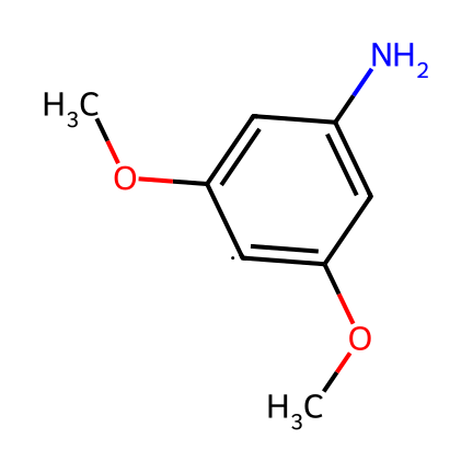 COc1[c]c(OC)cc(N)c1